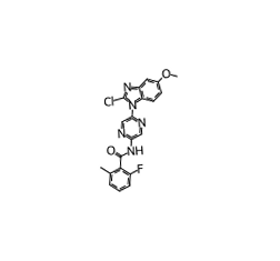 COc1ccc2c(c1)nc(Cl)n2-c1cnc(NC(=O)c2c(C)cccc2F)cn1